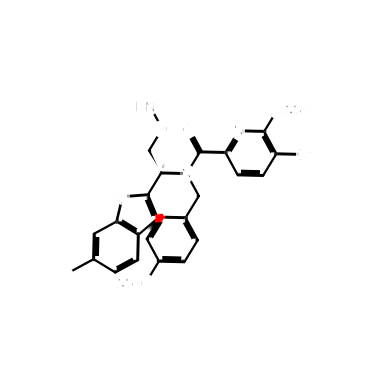 COc1ccc(CN(C(=O)c2ccc(Br)c(OC)n2)[C@H](CON)c2cc3ccc(C)cc3o2)cc1